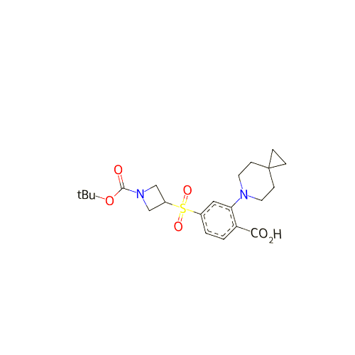 CC(C)(C)OC(=O)N1CC(S(=O)(=O)c2ccc(C(=O)O)c(N3CCC4(CC3)CC4)c2)C1